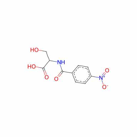 O=C(NC(CO)C(=O)O)c1ccc([N+](=O)[O-])cc1